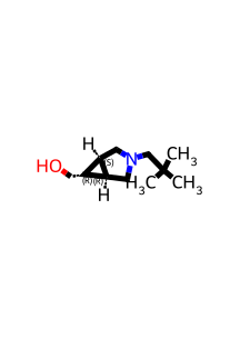 CC(C)(C)CN1C[C@@H]2[C@@H](CO)[C@@H]2C1